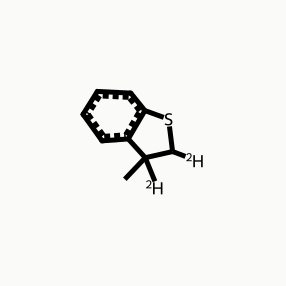 [2H]C1Sc2ccccc2C1([2H])C